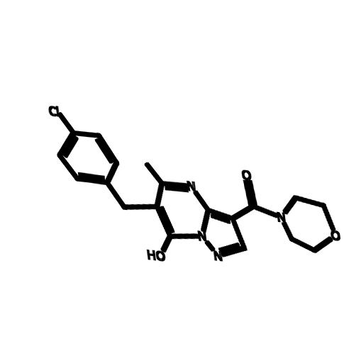 Cc1nc2c(C(=O)N3CCOCC3)cnn2c(O)c1Cc1ccc(Cl)cc1